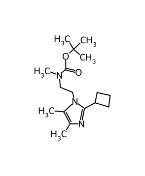 Cc1nc(C2CCC2)n(CCN(C)C(=O)OC(C)(C)C)c1C